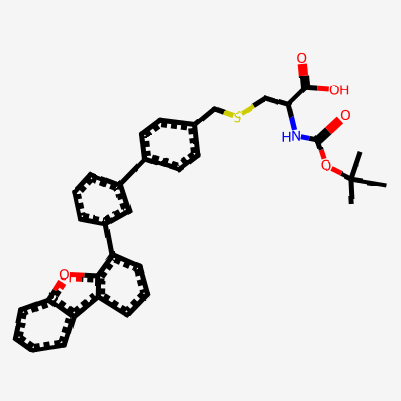 CC(C)(C)OC(=O)NC(CSCc1ccc(-c2cccc(-c3cccc4c3oc3ccccc34)c2)cc1)C(=O)O